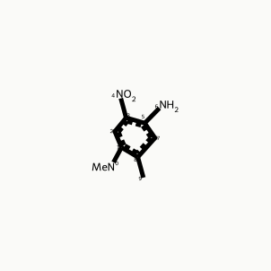 CNc1cc([N+](=O)[O-])c(N)cc1C